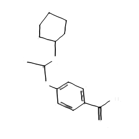 C=C(C)c1ccc(OC(CCC)OC2CCCCC2)cc1